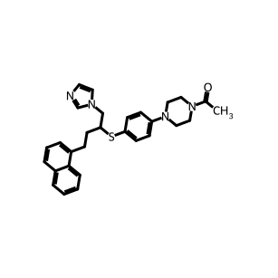 CC(=O)N1CCN(c2ccc(SC(CCc3cccc4ccccc34)Cn3ccnc3)cc2)CC1